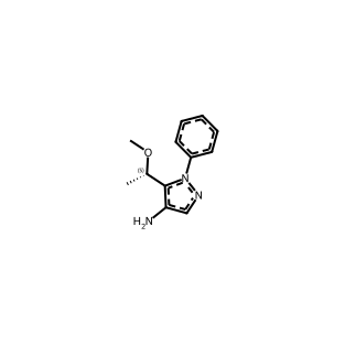 CO[C@@H](C)c1c(N)cnn1-c1ccccc1